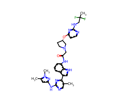 Cc1cnc(Nc2cc(C)n(C)n2)nc1-c1c[nH]c2c(NC(=O)CN3CC[C@H](Oc4ccnc(NCC(C)(F)F)n4)C3)cccc12